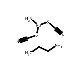 CCCN.N#C[S][Pd]([NH2])[S]C#N